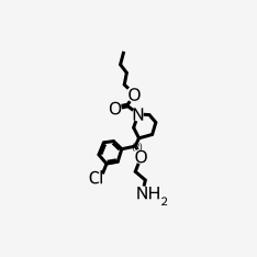 CCCCOC(=O)N1CCCC([C@@H](OCCN)c2cccc(Cl)c2)C1